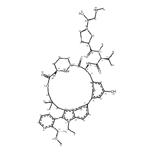 CCn1c(-c2cccnc2[C@H](C)OC)c2c3cc(ccc31)-c1cc(O)cc(c1)C[C@H](NC(=O)[C@H](C(C)C)N(C)C(=O)[C@H]1CCN(C(O)CNC)C1)C(=O)N1CCC[C@H](N1)C(=O)OCC(C)(C)C2